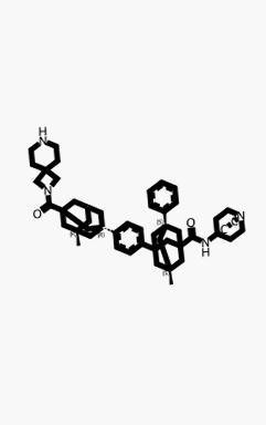 C[C@]12CC3CC(C(=O)N4CC5(CCNCC5)C4)(C1)C[C@@](c1ccc(C45CC6(C(=O)NC78CCN(CC7)CC8)C[C@](C)(C4)C[C@@](c4ccccc4)(C6)C5)cc1)(C3)C2